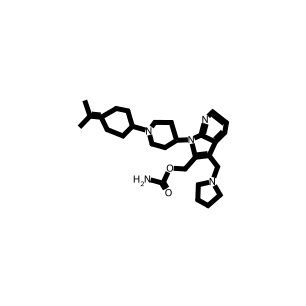 CC(C)=C1CCC(N2CCC(n3c(COC(N)=O)c(CN4CCCC4)c4cccnc43)CC2)CC1